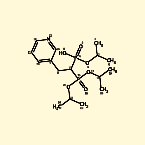 CC(C)OP(=O)(O)C(Cc1cccnc1)P(=O)(OC(C)C)OC(C)C